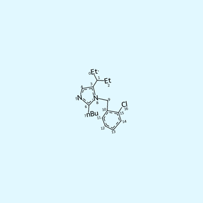 C[CH]C(CC)c1cnc(CCCC)n1Cc1ccccc1Cl